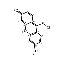 O=c1ccc2c(CCl)c3ccc(O)cc3oc-2c1